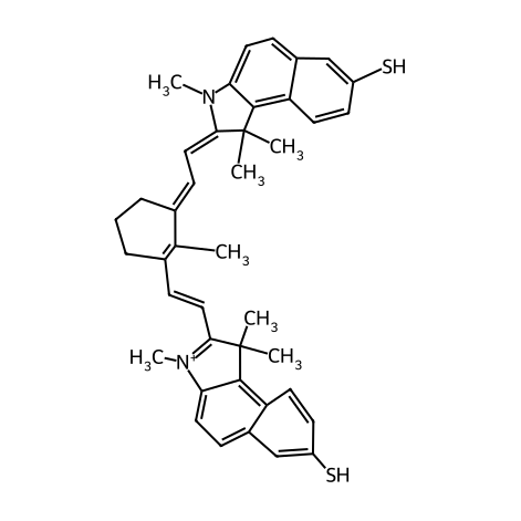 CC1=C(/C=C/C2=[N+](C)c3ccc4cc(S)ccc4c3C2(C)C)CCC/C1=C\C=C1\N(C)c2ccc3cc(S)ccc3c2C1(C)C